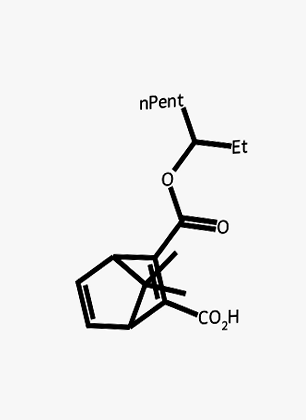 CCCCCC(CC)OC(=O)C1=C(C(=O)O)C2C=CC1C2(C)C